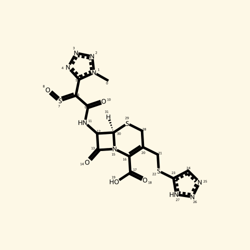 Cn1nnnc1C(=S=O)C(=O)NC1C(=O)N2C(C(=O)O)=C(CSc3cnn[nH]3)CS[C@H]12